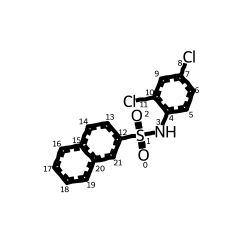 O=S(=O)(Nc1ccc(Cl)cc1Cl)c1ccc2ccccc2c1